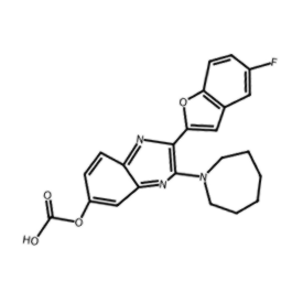 O=C(O)Oc1ccc2nc(-c3cc4cc(F)ccc4o3)c(N3CCCCCC3)nc2c1